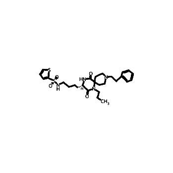 CCCN1C(=O)[C@H](CCCCNS(=O)(=O)c2cccs2)NC(=O)C12CCN(CCc1ccccc1)CC2